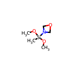 CO[Si](C)(OC)N1COC1